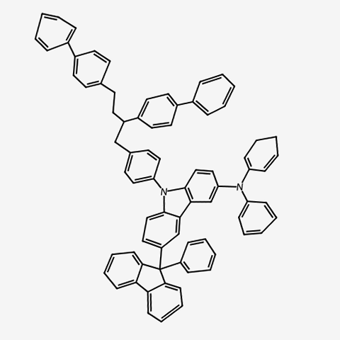 C1=CC(N(c2ccccc2)c2ccc3c(c2)c2cc(C4(c5ccccc5)c5ccccc5-c5ccccc54)ccc2n3-c2ccc(CC(CCc3ccc(-c4ccccc4)cc3)c3ccc(-c4ccccc4)cc3)cc2)=CCC1